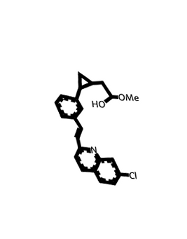 COC(O)CC1CC1c1cccc(C=Cc2ccc3ccc(Cl)cc3n2)c1